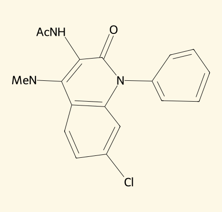 [CH2]C(=O)Nc1c(NC)c2ccc(Cl)cc2n(-c2ccccc2)c1=O